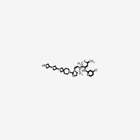 C=C(F)/C=C(/Nc1cc(Cl)ccn1)[C@@H](C)N(C)/C=C\N1CCN=C1N1CCC2(CC1)CN(C1CN(C3CNC3)C1)C2